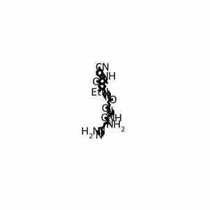 CCc1cc2c(cc1N1CCN(C(=O)CCC(=O)N3CC[C@@H](NC(=O)[C@@H](N)CCCn4ccnc4N)C3)CC1)C(C)(C)c1[nH]c3cc(C#N)ccc3c1C2=O